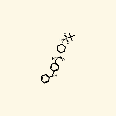 CC(C)(C)S(=O)(=O)N[C@H]1CC[C@H](C(=O)Nc2ccc(Nc3ccccc3)cc2)CC1